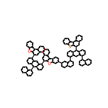 c1ccc2c(-c3cccc4c(-c5cc6ccccc6c6c5sc5ccccc56)c5cccc(-c6cccc7ccc(-c8ccc9c(c8)oc8c(-c%10cccc%11c(-c%12cccc%13ccccc%12%13)c%12cccc(-c%13cc%14ccccc%14c%14c%13oc%13ccccc%13%14)c%12cc%10%11)cc%10ccccc%10c89)cc67)c5cc34)cccc2c1